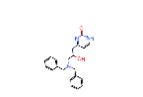 O=c1nc(CC(O)CN(Cc2ccccc2)Cc2ccccc2)cc[nH]1